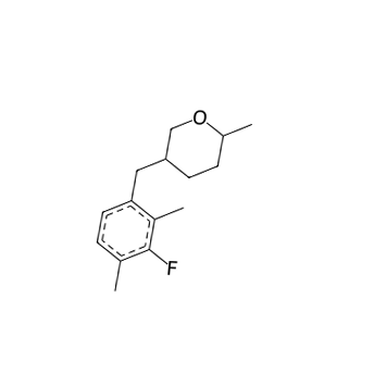 Cc1ccc(CC2CCC(C)OC2)c(C)c1F